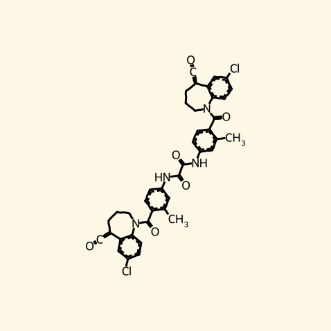 Cc1cc(NC(=O)C(=O)Nc2ccc(C(=O)N3CCCC(=C=O)c4cc(Cl)ccc43)c(C)c2)ccc1C(=O)N1CCCC(=C=O)c2cc(Cl)ccc21